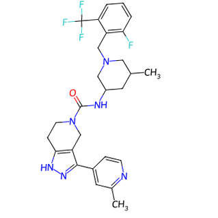 Cc1cc(-c2n[nH]c3c2CN(C(=O)NC2CC(C)CN(Cc4c(F)cccc4C(F)(F)F)C2)CC3)ccn1